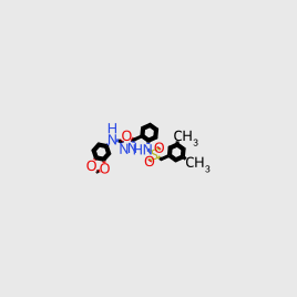 Cc1cc(C)cc(CS(=O)(=O)Nc2ccccc2-c2nnc(Nc3ccc4c(c3)OCO4)o2)c1